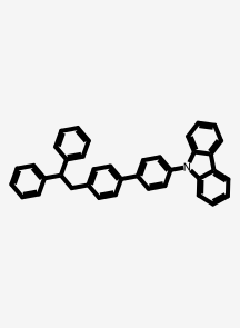 c1ccc(C(Cc2ccc(-c3ccc(-n4c5ccccc5c5ccccc54)cc3)cc2)c2ccccc2)cc1